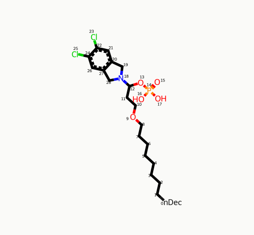 CCCCCCCCCCCCCCCCCCOCCC(OP(=O)(O)O)N1Cc2cc(Cl)c(Cl)cc2C1